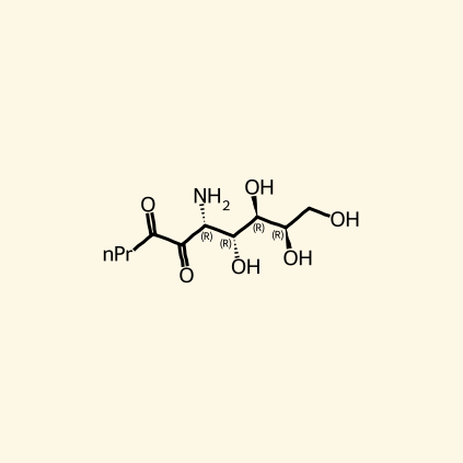 CCCC(=O)C(=O)[C@H](N)[C@@H](O)[C@@H](O)[C@H](O)CO